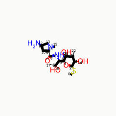 CS[C@H]1O[C@H]([C@H](NC(=O)[C@@H]2C[C@@H](N)CN2C)[C@@H](C)O)[C@H](O)[C@H](C)[C@H]1O